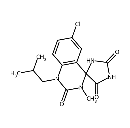 CC(C)CN1C(=O)N(C)C2(NC(=O)NC2=O)c2cc(Cl)ccc21